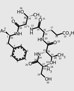 CC(=O)[C@H](Cc1ccccc1)NC(=O)[C@@H](NC(=O)[C@H](CCC(=O)O)NC(=O)[C@@H](NC(=O)[C@@H](C)CO)[C@@H](C)O)[C@@H](C)O